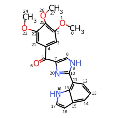 COc1cc(C(=O)c2c[nH]c(-c3cccc4cc[nH]c34)n2)cc(OC)c1OC